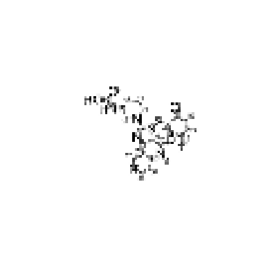 Cn1c(=O)c2c(nc(N3CCC[C@@H](NC(=O)O)C3)n2Cc2cc(F)ccc2Cl)c2cnccc21